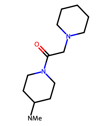 CNC1CCN(C(=O)CN2CCCCC2)CC1